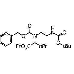 CCCC(C(=O)OCC)N(CCNC(=O)OC(C)(C)C)C(=O)OCc1ccccc1